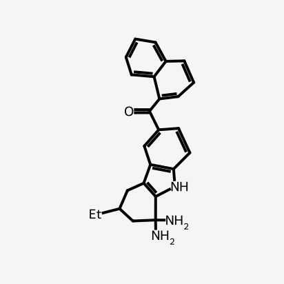 CCC1Cc2c([nH]c3ccc(C(=O)c4cccc5ccccc45)cc23)C(N)(N)C1